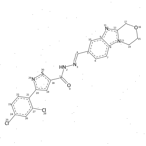 O=C(N/N=C/c1ccc2c(c1)nc1n2CCOC1)c1cc(-c2ccc(Cl)cc2Cl)ns1